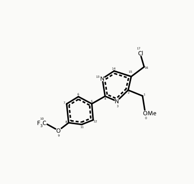 COCc1nc(-c2ccc(OC(F)(F)F)cc2)ncc1CCl